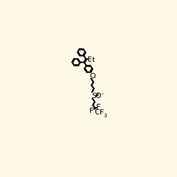 CC/C(=C(/c1ccccc1)c1ccc(OCCCCC[S+]([O-])CCCC(F)(F)C(F)(F)F)cc1)c1ccccc1